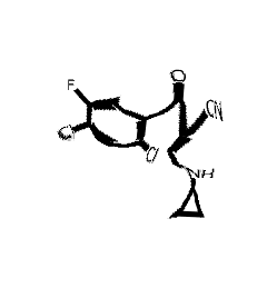 N#CC(=CNC1CC1)C(=O)c1cc(F)c(Cl)cc1Cl